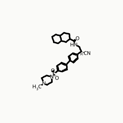 CN1CCN(S(=O)(=O)c2ccc(-c3ccc([C@@H](C#N)CNC(=O)C4CCC5CCCCC5C4)cc3)cc2)CC1